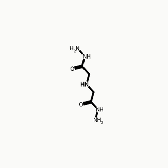 NNC(=O)CNCC(=O)NN